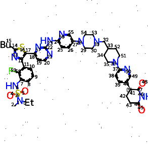 CCN(C)S(=O)(=O)Nc1cccc(-c2nc(C(C)(C)C)sc2-c2ccnc(Nc3ccc(N4CCN(CC5CCN(c6ccc([C@@H]7CCC(=O)NC7=O)cn6)CC5)CC4)cn3)n2)c1F